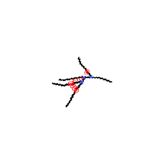 CCCCCCCCCCCCCCN(CCCCN(CCCCCCCCCCCCCC)CC(O)CN(CCCC(=O)OCCCCCCCCCCCC)CCCC(=O)OCCCCCCCCCCCC)CCCC(=O)OCCCCCCCCCCCC